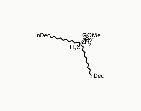 CCCCCCCCCCCCCCCCCCCC[N+](C)(C)CCCCCCCCCCCCCCCCCCCC.COS(=O)(=O)[O-]